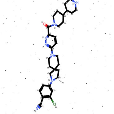 C[C@H]1CC2(CCN(c3ccc(C(=O)N4CCC(C5CCNCC5)CC4)nn3)CC2)CN1c1ccc(C#N)c(Cl)c1